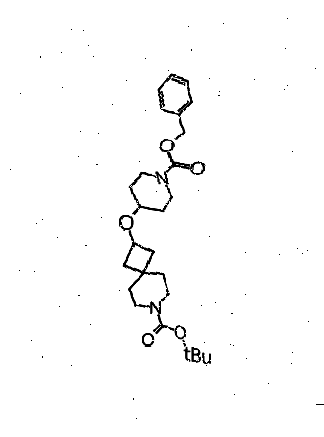 CC(C)(C)OC(=O)N1CCC2(CC1)CC(OC1CCN(C(=O)OCc3ccccc3)CC1)C2